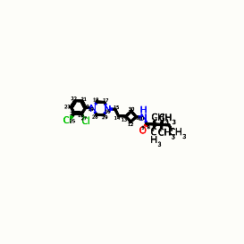 CCC(C)(C)C(C)(C)C(=O)NC1CC(CCN2CCN(c3cccc(Cl)c3Cl)CC2)C1